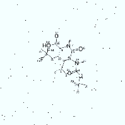 CC(C)C[C@@H](C(=O)N(C)[C@H](CCC(C)(F)F)C(=O)O)N(C)C(=O)OC(C)(C)C